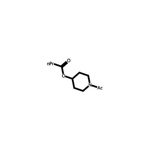 CCCC(=O)OC1CCN(C(C)=O)CC1